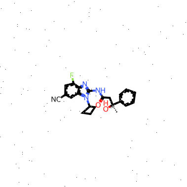 C[C@](O)(CC(=O)Nc1nc2c(F)cc(C#N)cc2n1C1CCC1)c1ccccc1